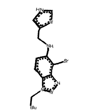 CC(C)(C)Cn1nnc2c(Br)c(NCc3c[nH]cn3)ccc21